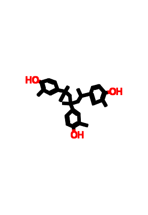 Cc1cc(C(C)CC(C)(CC(C)(C)c2ccc(O)c(C)c2)c2ccc(O)c(C)c2)ccc1O